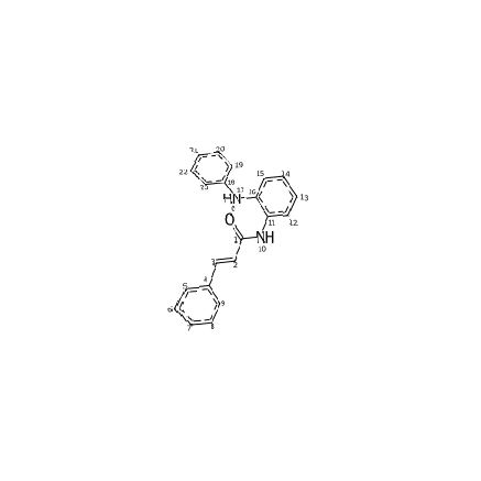 O=C(C=Cc1ccccc1)Nc1ccccc1Nc1ccccc1